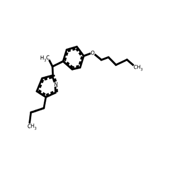 CCCCCOc1ccc(C(C)c2ccc(CCC)cn2)cc1